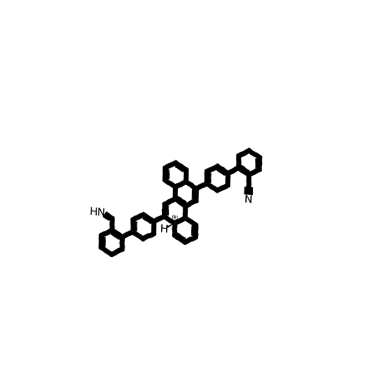 N#CC1=C(C2=CC=C(C3=CC4=C(C=C(C5=CC=C(C6=C(C=N)C=CCC6)CC5)[C@@H]5C=CC=CC45)C4C=CC=CC34)CC2)CCC=C1